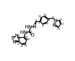 O=C(N/N=C/c1ccc(Cn2cccn2)cc1)Nc1cccc2nsnc12